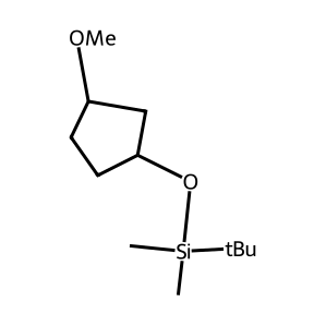 COC1CCC(O[Si](C)(C)C(C)(C)C)C1